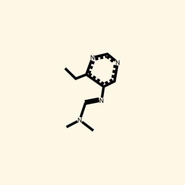 CCc1ncncc1N=CN(C)C